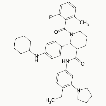 CCc1ccc(NC(=O)C2CCCN(C(=O)c3c(C)cccc3F)[C@H]2c2ccc(NC3CCCCC3)cc2)cc1N1CCCC1